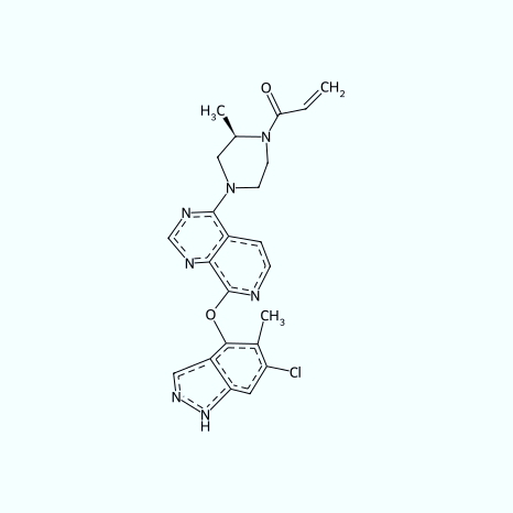 C=CC(=O)N1CCN(c2ncnc3c(Oc4c(C)c(Cl)cc5[nH]ncc45)nccc23)C[C@H]1C